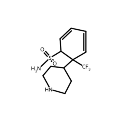 NS(=O)(=O)C1C=CC=CC1(C1CCNCC1)C(F)(F)F